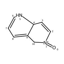 O=[N+]1C=CC2NC=CC=C2C1